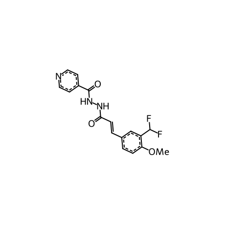 COc1ccc(C=CC(=O)NNC(=O)c2ccncc2)cc1C(F)F